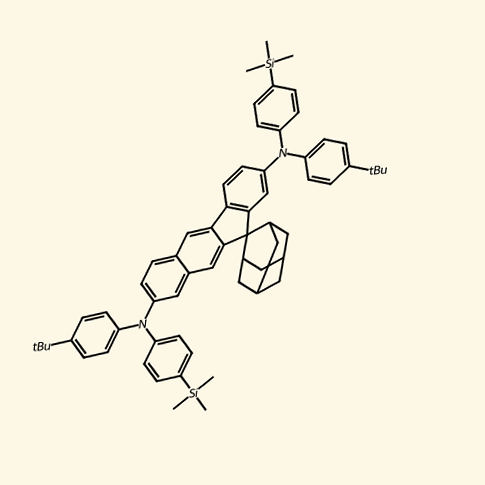 CC(C)(C)c1ccc(N(c2ccc([Si](C)(C)C)cc2)c2ccc3c(c2)C2(c4cc5cc(N(c6ccc(C(C)(C)C)cc6)c6ccc([Si](C)(C)C)cc6)ccc5cc4-3)C3CC4CC(C3)CC2C4)cc1